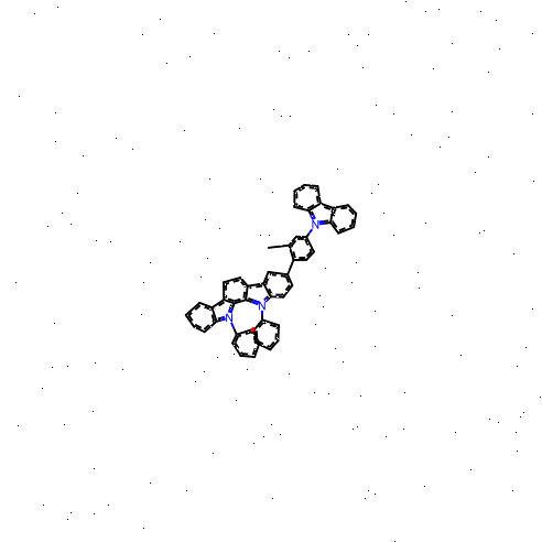 Cc1cc(-n2c3ccccc3c3ccccc32)ccc1-c1ccc2c(c1)c1ccc3c4ccccc4n(-c4ccccc4)c3c1n2-c1ccccc1